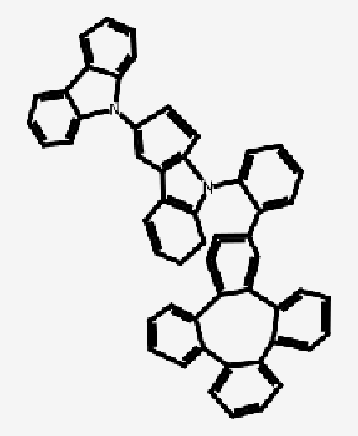 C1=C=C(c2ccccc2-n2c3c(c4cc(-n5c6ccccc6c6ccccc65)ccc42)C=CCC3)C=C2C=1c1ccccc1-c1ccccc1-c1ccccc12